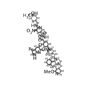 COc1cc(CN2CCN(C3CC4(CCN(c5ccc(C(=O)NS(=O)(=O)c6cnc(NCC7CCC(C)(O)CC7)c([N+](=O)[O-])c6)c(Oc6cc7c(F)c[nH]c7nc6OC)c5)C5CC54)C3)[C@H](c3ccccc3C(C)C)C2)ccn1